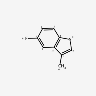 Cc1csc2c[c]c(F)cc12